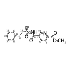 COC(=O)c1ccc(C(=O)NS(=O)(=O)CCc2ccccc2)cn1